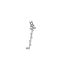 Cc1cc2nc(NC(=O)OCCOCCOCCOCCOCCO)n(C)c2cc1C